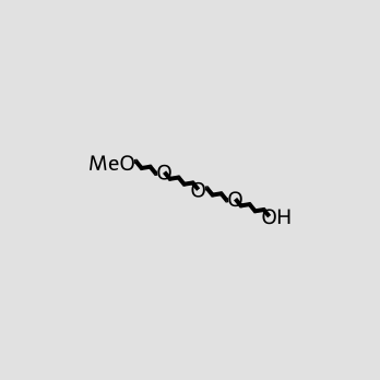 COCCCCOCCCCOCCCCOCCCCO